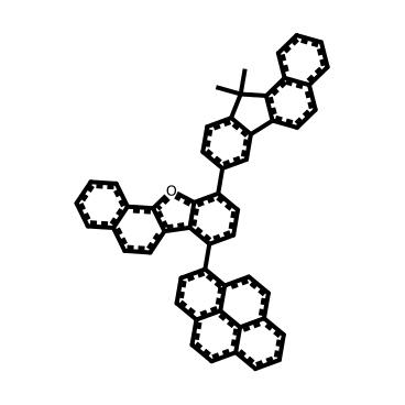 CC1(C)c2ccc(-c3ccc(-c4ccc5ccc6cccc7ccc4c5c67)c4c3oc3c5ccccc5ccc34)cc2-c2ccc3ccccc3c21